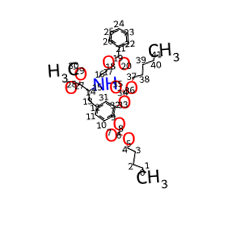 CCCCCOC(=O)Oc1ccc(C[C@H](NCCOC(=O)c2ccccc2)C(=O)OC)cc1OC(=O)OCCCCC